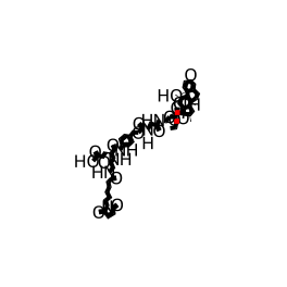 CCC(=O)O[C@]1(C(=O)COCNC(=O)CNC(=O)OCc2ccc(NC(=O)[C@H](CCC(=O)O)NC(=O)CNC(=O)CCCCCN3C(=O)C=CC3=O)cc2)[C@@H](C)CC2[C@@H]3CCC4=CC(=O)C=C[C@]4(C)[C@@]3(Cl)[C@@H](O)C[C@@]21C